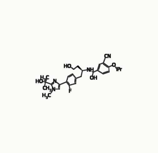 CC(C)Oc1ccc(C(O)N[C@H](CCO)Cc2ccc(-c3cn(C)c(C(C)(C)O)n3)c(F)c2)cc1C#N